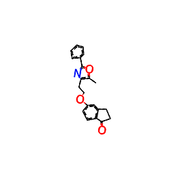 Cc1oc(-c2ccccc2)nc1CCOc1ccc2c(c1)CCC2=O